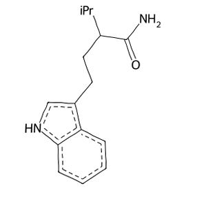 CC(C)C(CCc1c[nH]c2ccccc12)C(N)=O